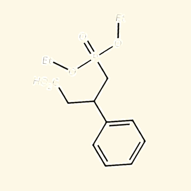 CCOP(=O)(CC(CC(=O)O)c1ccccc1)OCC